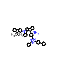 CC1(C)c2ccccc2-c2ccc(-n3c4ccccc4c4c5c(ccc43)-c3ccccc3C5c3ccc(-c4nc(-c5ccccc5)nc(-c5ccc(-c6ccccc6)cc5)n4)cc3N)cc21